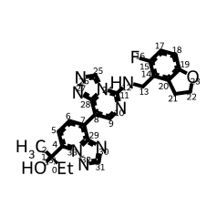 CC[C@](C)(O)c1ccc(-c2cnc(NCc3c(F)ccc4c3CCO4)n3cnnc23)c2ncnn12